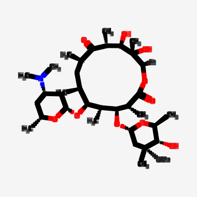 CC[C@H]1OC(=O)[C@H](C)[C@@H](O[C@H]2C[C@@](C)(OC)[C@@H](O)[C@H](C)O2)[C@H](C)[C@@H](O[C@H]2C[C@@H](N(C)C)C[C@@H](C)O2)[C@@H](C)C[C@@H](C)C(=O)[C@H](C)[C@@H](O)[C@]1(C)O